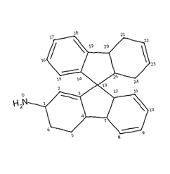 NC1C=C2C(CC1)C1C=CC=CC1C21c2ccccc2C2CC=CCC21